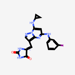 O=C1NC(=O)/C(=C/c2cnn3c(NC4CC4)cc(Nc4cccc(I)c4)nc23)N1